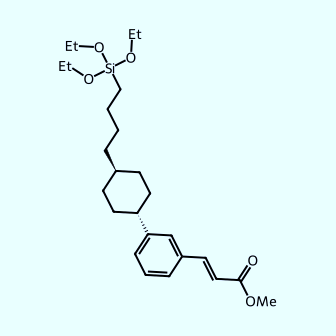 CCO[Si](CCCC[C@H]1CC[C@H](c2cccc(C=CC(=O)OC)c2)CC1)(OCC)OCC